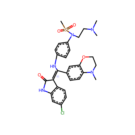 CN(C)CCN(c1ccc(N/C(=C2\C(=O)Nc3cc(Cl)ccc32)c2ccc3c(c2)OCCN3C)cc1)S(C)(=O)=O